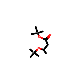 CC(CC(=O)O[Si](C)(C)C)O[Si](C)(C)C